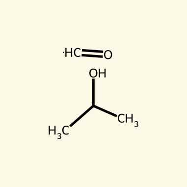 CC(C)O.[CH]=O